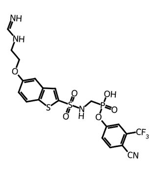 N#Cc1ccc(OP(=O)(O)CNS(=O)(=O)c2cc3cc(OCCNC=N)ccc3s2)cc1C(F)(F)F